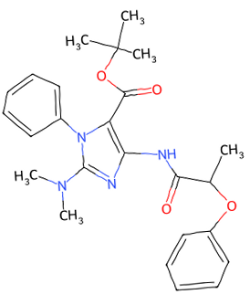 CC(Oc1ccccc1)C(=O)Nc1nc(N(C)C)n(-c2ccccc2)c1C(=O)OC(C)(C)C